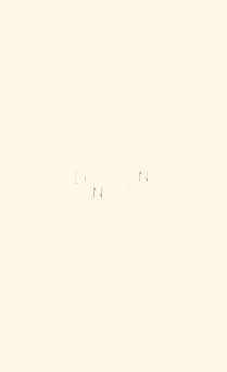 CN(C)C(C)(C)C1CCN1C(C)(C)C